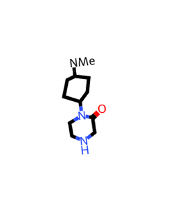 CNC1CCC(N2CCNCC2=O)CC1